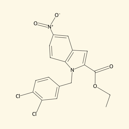 CCOC(=O)c1cc2cc([N+](=O)[O-])ccc2n1Cc1ccc(Cl)c(Cl)c1